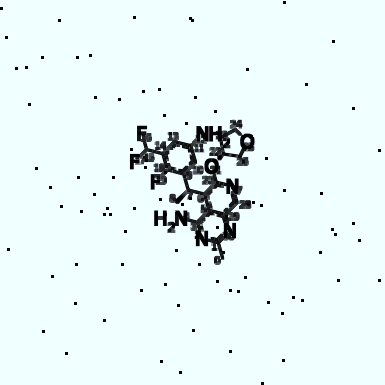 Cc1nc(N)c2c([C@@H](C)c3cc(N)cc(C(F)F)c3F)c(O[C@H]3CCOC3)ncc2n1